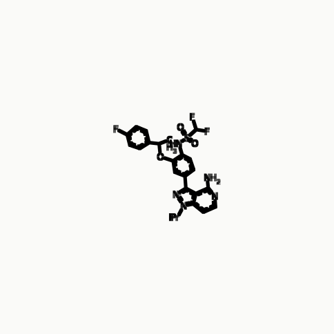 CC(Oc1cc(-c2nn(C(C)C)c3ccnc(N)c23)ccc1NS(=O)(=O)C(F)F)c1ccc(F)cc1